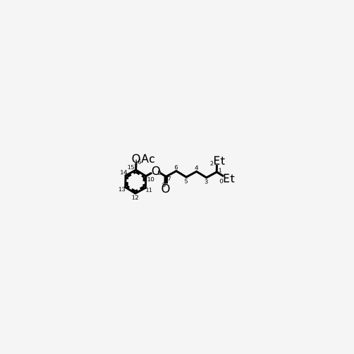 CCC(CC)CCCCC(=O)Oc1ccccc1OC(C)=O